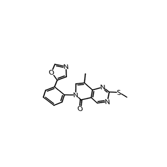 CSc1ncc2c(=O)n(-c3ccccc3-c3cnco3)cc(C)c2n1